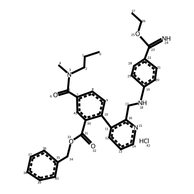 CCCN(C)C(=O)c1ccc(-c2cccnc2CNc2ccc(C(=N)OCC)cc2)c(C(=O)OCc2ccccc2)c1.Cl